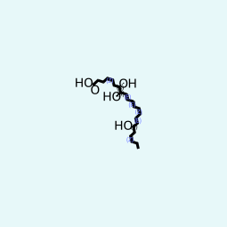 CC/C=C\C[C@H](O)/C=C/C=C\C=C\C=C\[C@@H](O)[C@@H](O)C/C=C\CCC(=O)O